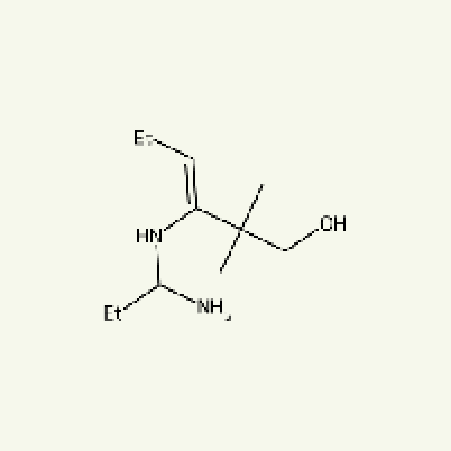 CC/C=C(\NC(N)CC)C(C)(C)CO